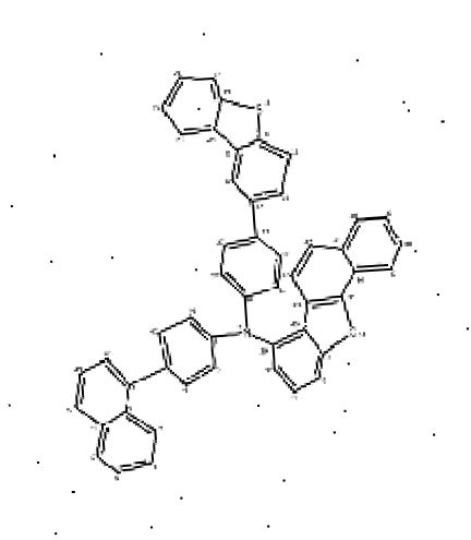 c1ccc2c(-c3ccc(N(c4ccc(-c5ccc6sc7ccccc7c6c5)cc4)c4cccc5oc6c7ccccc7ccc6c45)cc3)cccc2c1